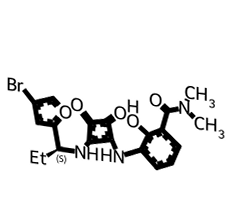 CC[C@H](Nc1c(Nc2cccc(C(=O)N(C)C)c2O)c(=O)c1=O)c1cc(Br)co1